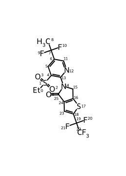 CCS(=O)(=O)c1cc(C(C)(F)F)cnc1N1Cc2sc(C(F)(F)C(F)(F)F)cc2C1=O